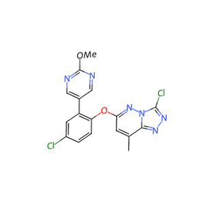 COc1ncc(-c2cc(Cl)ccc2Oc2cc(C)c3nnc(Cl)n3n2)cn1